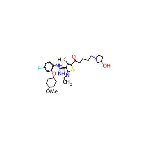 C=C/N=C1/SC(C(=O)CCCCN2CCC(O)C2)=C(C)/C1=C(/N)Nc1ccc(F)cc1OC1CCC(OC)CC1